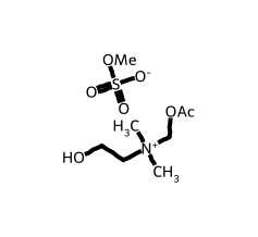 CC(=O)OC[N+](C)(C)CCO.COS(=O)(=O)[O-]